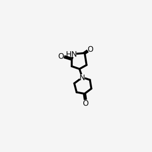 O=C1CCN(C2CC(=O)NC(=O)C2)CC1